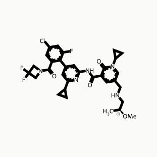 CO[C@@H](C)CNCc1cc(C(=O)Nc2cc(-c3c(F)cc(Cl)cc3C(=O)N3CC(F)(F)C3)cc(C3CC3)n2)c(=O)n(C2CC2)c1